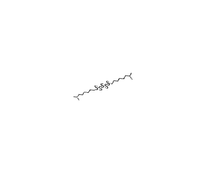 CC(C)CCCCCCSSSSSCCCCCCC(C)C